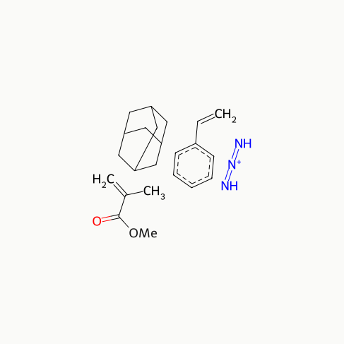 C1C2CC3CC1CC(C2)C3.C=C(C)C(=O)OC.C=Cc1ccccc1.N=[N+]=N